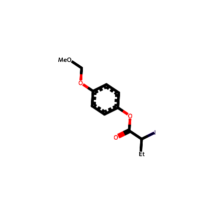 CCC(I)C(=O)Oc1ccc(OCOC)cc1